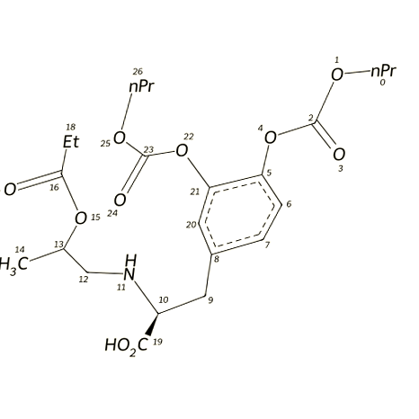 CCCOC(=O)Oc1ccc(C[C@H](NCC(C)OC(=O)CC)C(=O)O)cc1OC(=O)OCCC